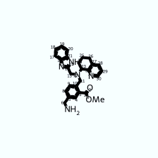 COC(=O)c1cc(CN)ccc1CN(Cc1nc2ccccc2[nH]1)C1CCCc2cccnc21